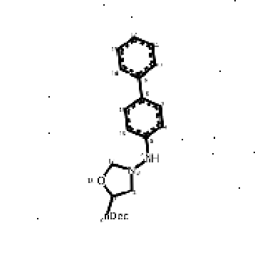 CCCCCCCCCCC1CN(Nc2ccc(-c3ccccc3)cc2)CO1